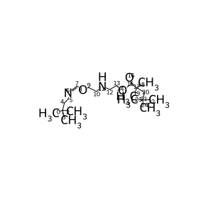 CC(C)(C)CC/N=C\OCCNCCOC(=O)C(C)(C)CC(C)(C)C